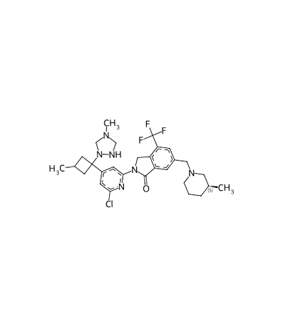 CC1CC(c2cc(Cl)nc(N3Cc4c(cc(CN5CCC[C@H](C)C5)cc4C(F)(F)F)C3=O)c2)(N2CN(C)CN2)C1